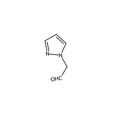 O=[C]Cn1cccn1